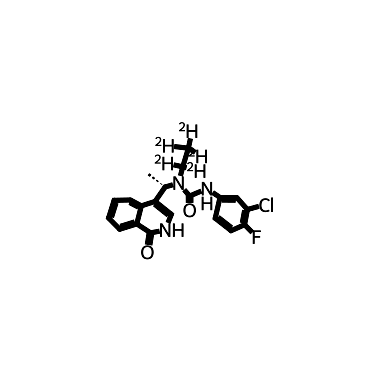 [2H]C([2H])([2H])C([2H])([2H])N(C(=O)Nc1ccc(F)c(Cl)c1)[C@@H](C)c1c[nH]c(=O)c2ccccc12